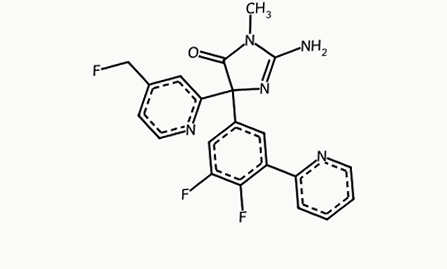 CN1C(=O)C(c2cc(F)c(F)c(-c3ccccn3)c2)(c2cc(CF)ccn2)N=C1N